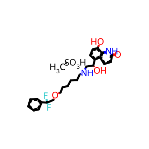 CS(=O)(=O)O.O=c1ccc2c([C@@H](O)CNCCCCCCOCC(F)(F)c3ccccc3)ccc(O)c2[nH]1